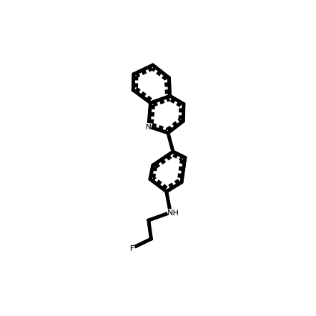 FCCNc1ccc(-c2ccc3ccccc3n2)cc1